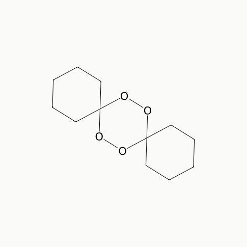 C1CCC2(CC1)OOC1(CCCCC1)OO2